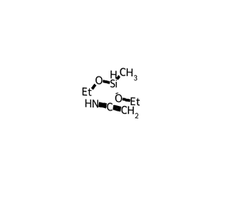 C=C=N.CCO[SiH](C)OCC